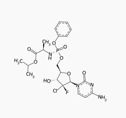 CC(C)OC(=O)[C@@H](C)N[P@](=O)(OC[C@H]1O[C@@H](n2ccc(N)nc2=O)[C@](F)(Cl)[C@@H]1O)Oc1ccccc1